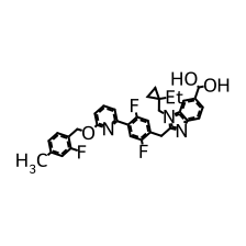 CCC1(Cn2c(Cc3cc(F)c(-c4cccc(OCc5ccc(C)cc5F)n4)cc3F)nc3ccc(C(O)O)cc32)CC1